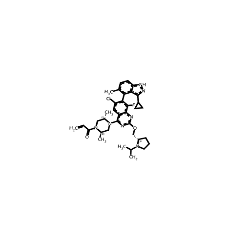 C=CC(=O)N1C[C@H](C)N(c2nc(OC[C@@H]3CCCN3C(C)C)nc3c(F)c(-c4c(C)ccc5[nH]nc(C6CC6)c45)c(Cl)cc23)C[C@H]1C